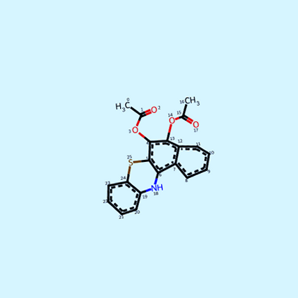 CC(=O)Oc1c2c(c3ccccc3c1OC(C)=O)Nc1ccccc1S2